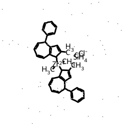 CC1=CC2=C(C=CC=CC2c2ccccc2)[CH]1[Zr+2]([CH3])([CH3])[CH]1C(C)=CC2=C1C=CC=CC2c1ccccc1.[Cl-].[Cl-].[SiH4]